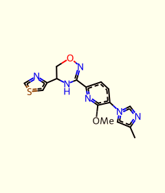 COc1nc(C2=NOCC(c3cscn3)N2)ccc1-n1cnc(C)c1